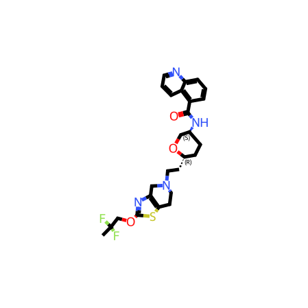 CC(F)(F)COc1nc2c(s1)CCN(CC[C@H]1CC[C@H](NC(=O)c3cccc4ncccc34)CO1)C2